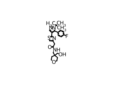 CC(C)(C)n1ncc(-c2nc(CC(=O)NCC3(CO)CCOCC3)cs2)c1-c1ccc(F)cc1